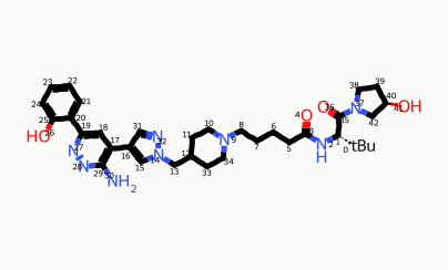 CC(C)(C)[C@H](NC(=O)CCCCN1CCC(Cn2cc(-c3cc(-c4ccccc4O)nnc3N)cn2)CC1)C(=O)N1CC[C@@H](O)C1